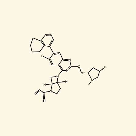 C=CC(=O)N1CC[C@@H]2[C@H]1CN2c1nc(OC[C@@H]2C[C@@H](F)CN2C)nc2cc(-c3cncc4c3CCCC4)c(F)cc12